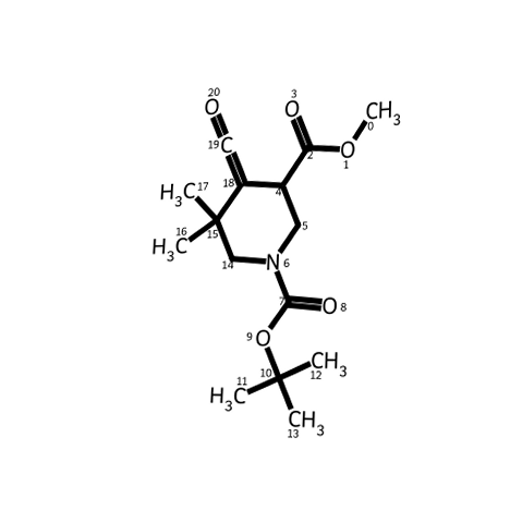 COC(=O)C1CN(C(=O)OC(C)(C)C)CC(C)(C)C1=C=O